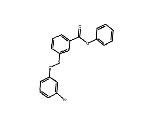 O=C(Oc1ccccc1)c1cccc(COc2cccc(Br)c2)c1